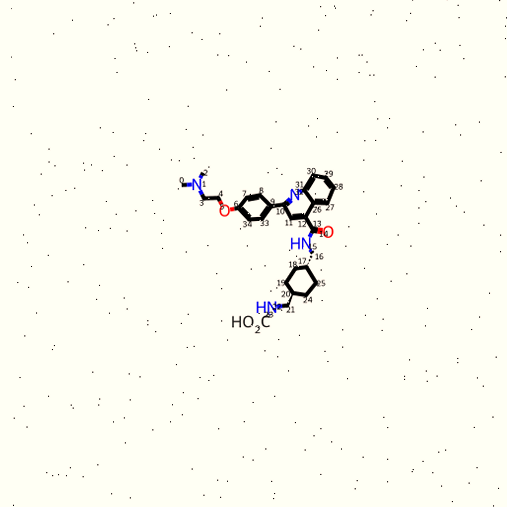 CN(C)CCOc1ccc(-c2cc(C(=O)NC[C@H]3CC[C@H](CNC(=O)O)CC3)c3ccccc3n2)cc1